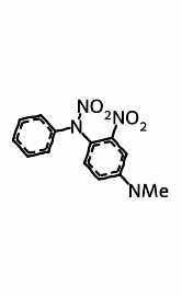 CNc1ccc(N(c2ccccc2)[N+](=O)[O-])c([N+](=O)[O-])c1